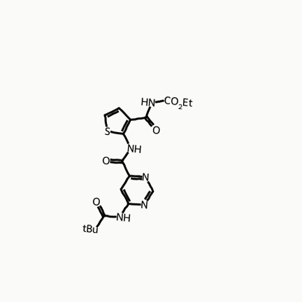 CCOC(=O)NC(=O)c1ccsc1NC(=O)c1cc(NC(=O)C(C)(C)C)ncn1